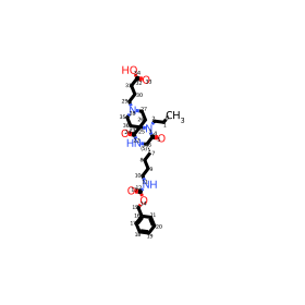 CCCN1C(=O)[C@H](CCCCNC(=O)OCc2ccccc2)NC(=O)C12CCN(CCCC(=O)O)CC2